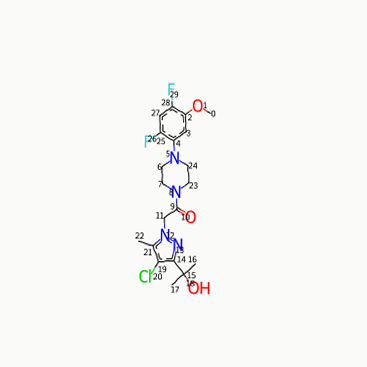 COc1cc(N2CCN(C(=O)Cn3nc(C(C)(C)O)c(Cl)c3C)CC2)c(F)cc1F